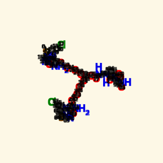 Cc1sc2c(c1C)C(c1ccc(Cl)cc1)=N[C@@H](C(CCOCCOCCOCCOCC(C)(COCCOCCOCCOCCC(C(N)=O)[C@@H]1N=C(c3ccc(Cl)cc3)c3c(sc(C)c3C)-n3c(C)nnc31)COCC(=O)NCCNc1cccc3c1C(=O)N(C1CCC(=O)NC1=O)C3=O)C(N)=O)c1nnc(C)n1-2